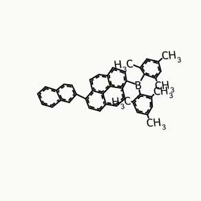 Cc1cc(C)c(B(c2c(C)cc(C)cc2C)c2ccc3ccc4c(-c5ccc6ccccc6c5)ccc5ccc2c3c54)c(C)c1